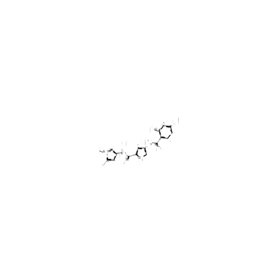 Cc1cc(NC(=O)c2cc(NC(=O)c3ccc(Cl)cc3F)c[nH]2)cn1C